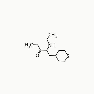 CCNC(CC1CCSCC1)C(=O)CC